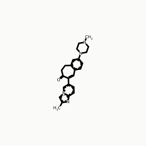 Cc1cn2cc(C3=Cc4ccc(N5CCN(C)CC5)cc4CCC3=O)ccc2n1